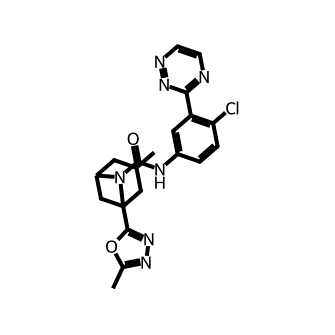 Cc1nnc(C23CC(C)CC(C2)N3C(=O)Nc2ccc(Cl)c(-c3nccnn3)c2)o1